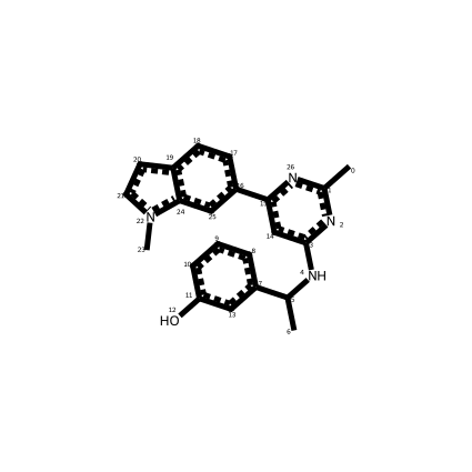 Cc1nc(NC(C)c2cccc(O)c2)cc(-c2ccc3ccn(C)c3c2)n1